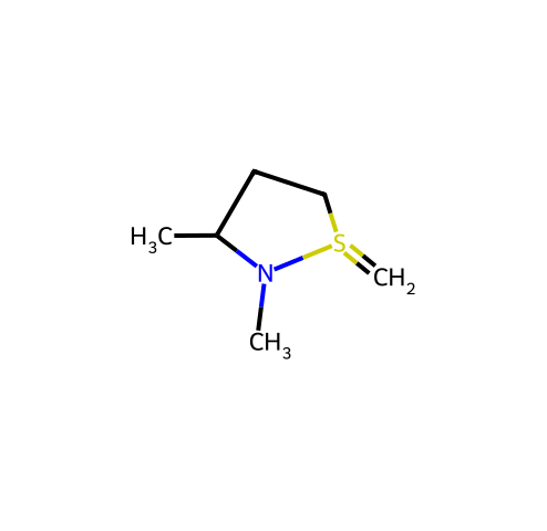 C=S1CCC(C)N1C